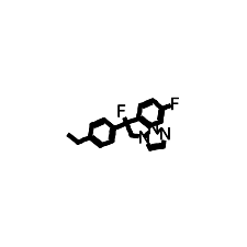 CCc1ccc(C(F)(Cn2ccnn2)c2ccc(F)cc2)cc1